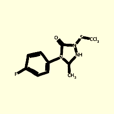 CC1NN(SC(Cl)(Cl)Cl)C(=O)N1c1ccc(F)cc1